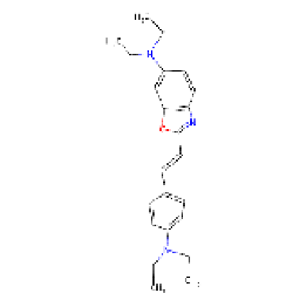 CCN(CC)c1ccc(C=Cc2nc3ccc(N(CC)CC)cc3o2)cc1